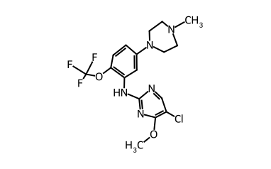 COc1nc(Nc2cc(N3CCN(C)CC3)ccc2OC(F)(F)F)ncc1Cl